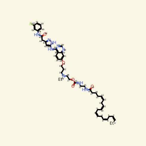 CC/C=C\C/C=C\C/C=C\C/C=C\C/C=C\CCCC(=O)NCCNC(=O)OCCN(CC)CCCOc1ccc2c(Nc3cc(CC(=O)Nc4cccc(F)c4)n[nH]3)ncnc2c1